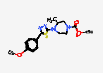 CCOc1ccc(-c2nnc(N3CCN(C(=O)OC(C)(C)C)C[C@H]3C)s2)cc1